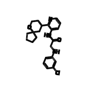 O=C(CNc1cccc(Cl)c1)Nc1cccnc1C1CCOC2(CCCC2)C1